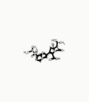 C[C@@H](O)[C@H]1C(=O)N2C(C(=O)O)=C(c3cn4cnc(S(=O)(=O)N(C)C)c4s3)C[C@H]12